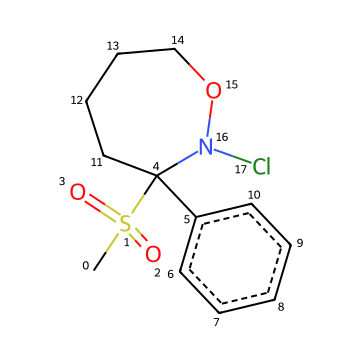 CS(=O)(=O)C1(c2ccccc2)CCCCON1Cl